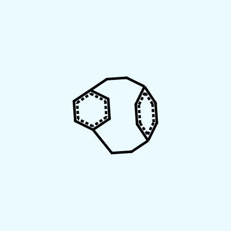 c1cc2ccc1CCc1ccc(cc1)CC2